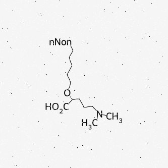 CCCCCCCCCCCCCCOC(CCCN(C)C)C(=O)O